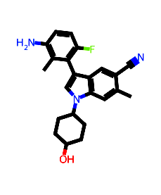 Cc1cc2c(cc1C#N)c(-c1c(F)ccc(N)c1C)cn2C1CCC(O)CC1